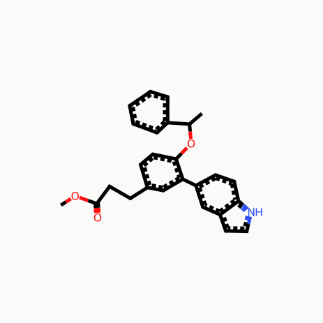 COC(=O)CCc1ccc(OC(C)c2ccccc2)c(-c2ccc3[nH]ccc3c2)c1